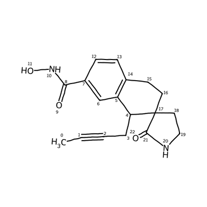 CC#CCC1c2cc(C(=O)NO)ccc2CCC12CCNC2=O